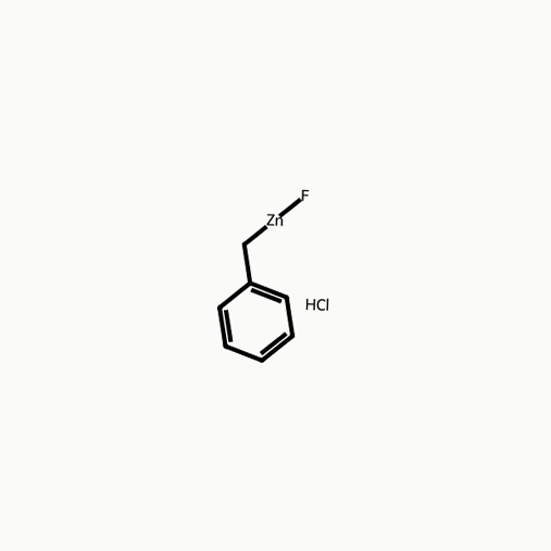 Cl.[F][Zn][CH2]c1ccccc1